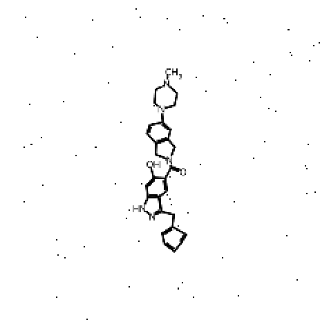 CN1CCN(c2ccc3c(c2)CN(C(=O)c2cc4c(Cc5ccccc5)n[nH]c4cc2O)C3)CC1